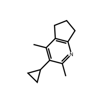 Cc1nc2c(c(C)c1C1CC1)CCC2